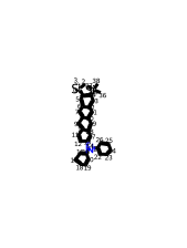 C[Si](C)(C)c1cc2cc3cc4ccc(N(c5ccccc5)c5ccccc5)cc4cc3cc2cc1[Si](C)(C)C